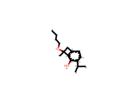 CCCCOC1(C)Cc2ccc(C(C)C)c(O)c21